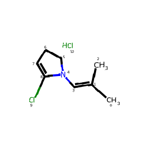 CC(C)=CN1CCC=C1Cl.Cl